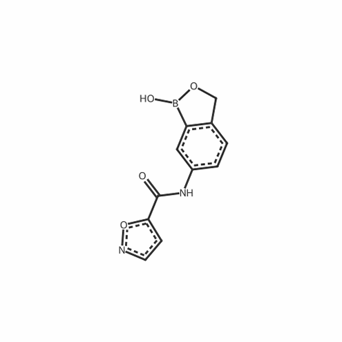 O=C(Nc1ccc2c(c1)B(O)OC2)c1ccno1